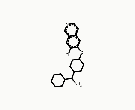 NC(C1CCCCC1)C1CCC(Oc2cc3ccncc3cc2Cl)CC1